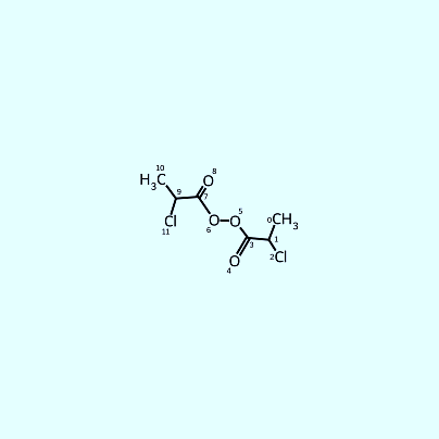 CC(Cl)C(=O)OOC(=O)C(C)Cl